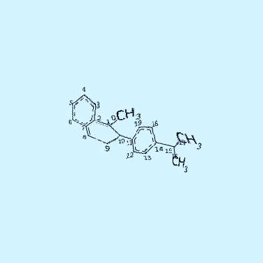 CC1=c2ccccc2=CCC1c1ccc(C(C)C)cc1